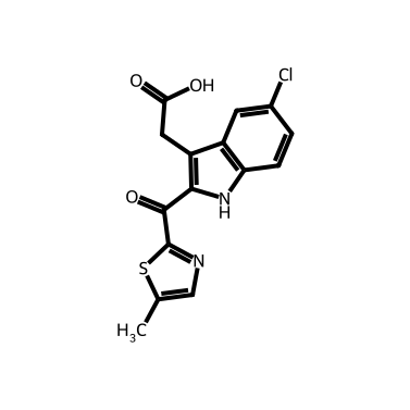 Cc1cnc(C(=O)c2[nH]c3ccc(Cl)cc3c2CC(=O)O)s1